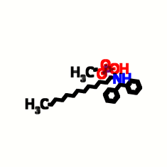 CCCCCCCCCCCCC(NC(c1ccccc1)c1ccccc1)[P@](=O)(O)OCC